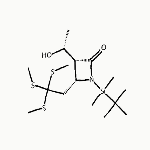 CSC(C[C@@H]1[C@H]([C@@H](C)O)C(=O)N1[Si](C)(C)C(C)(C)C)(SC)SC